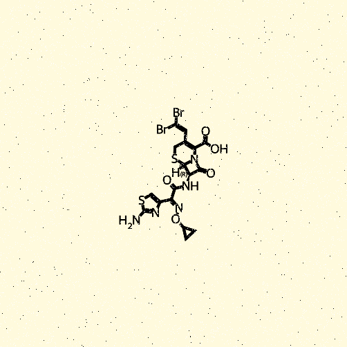 Nc1nc(C(=NOC2CC2)C(=O)N[C@@H]2C(=O)N3C(C(=O)O)=C(C=C(Br)Br)CS[C@@H]23)cs1